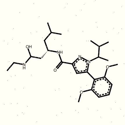 CCNC(O)C[C@H](CC(C)C)NC(=O)c1cc(-c2c(OC)cccc2OC)n(C(C)C(C)C)n1